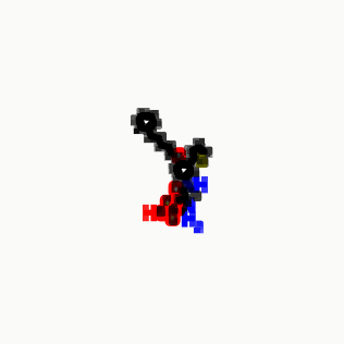 C[C@](N)(COP(=O)(O)O)C(=O)Nc1ccc(OCCCCCc2ccccc2)c(-c2cccs2)c1